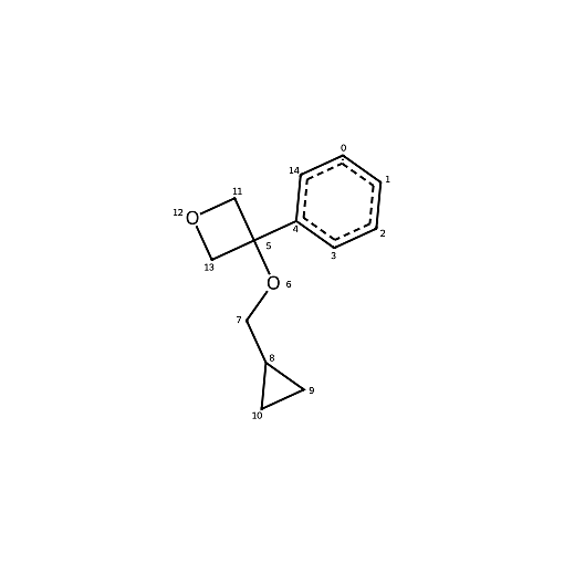 [c]1cccc(C2(OCC3CC3)COC2)c1